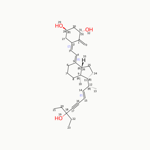 C=C1/C(=C\C=C2/CCC[C@]3(C)[C@@H]([C@H](C)/C=C/C#CC(O)(CC)CC)CC[C@@H]23)C[C@@H](O)C[C@@H]1O